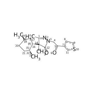 CC1=NN(CC(=O)c2ccsc2)C(=O)C1(C)[C@@H]1C[C@H](C)CC[C@@H]1C